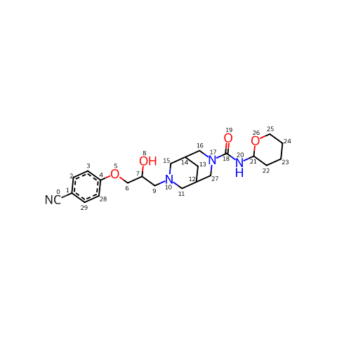 N#Cc1ccc(OCC(O)CN2CC3CC(C2)CN(C(=O)NC2CCCCO2)C3)cc1